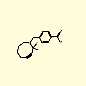 CC(C)C(=O)c1ccc(CC2CCCCC#CC2(F)F)cc1